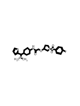 CN(C)C(c1cccs1)C1CCC(NC(=O)COC2CCN(S(=O)(=O)c3ccc(F)cc3)C2)CC1